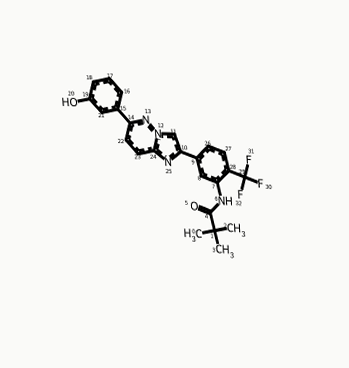 CC(C)(C)C(=O)Nc1cc(-c2cn3nc(-c4cccc(O)c4)ccc3n2)ccc1C(F)(F)F